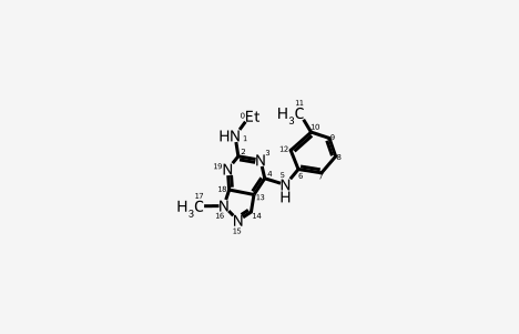 CCNc1nc(Nc2cccc(C)c2)c2cnn(C)c2n1